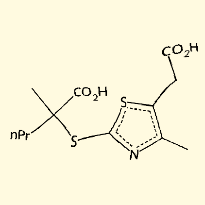 CCCC(C)(Sc1nc(C)c(CC(=O)O)s1)C(=O)O